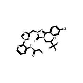 O=C(CF)Nc1cccnc1-n1cnc(Cn2nc(-c3ccc(Cl)cc3)n(CC(O)C(F)(F)F)c2=O)n1